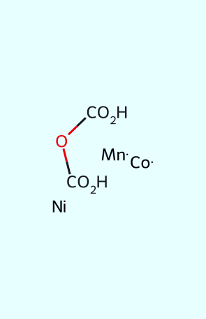 O=C(O)OC(=O)O.[Co].[Mn].[Ni]